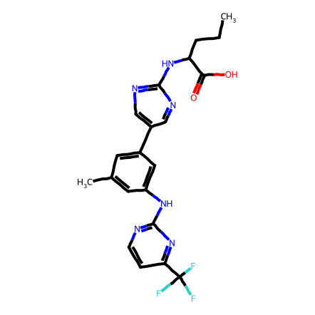 CCCC(Nc1ncc(-c2cc(C)cc(Nc3nccc(C(F)(F)F)n3)c2)cn1)C(=O)O